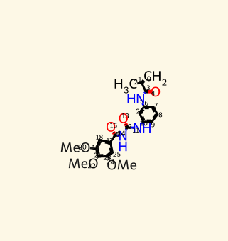 C=C(C)C(=O)Nc1cccc(NC(=O)NC(=O)c2cc(OC)c(OC)c(OC)c2)c1